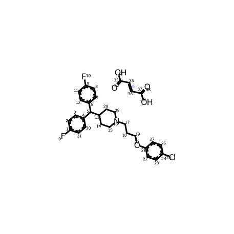 Fc1ccc(C(c2ccc(F)cc2)C2CCN(CCCOc3ccc(Cl)cc3)CC2)cc1.O=C(O)/C=C/C(=O)O